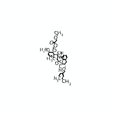 C=C/C=C(\C=C/C)COC[C@@H](Cc1ccc(F)cc1)[C@H](C)OC(=O)[C@H](C)NC(=O)c1nccc(OC)c1OCOC(=O)COCC